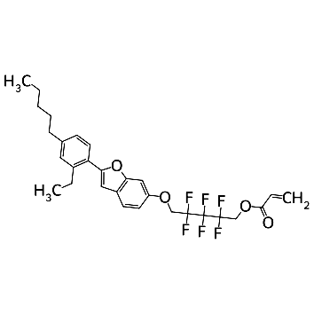 C=CC(=O)OCC(F)(F)C(F)(F)C(F)(F)COc1ccc2cc(-c3ccc(CCCCC)cc3CC)oc2c1